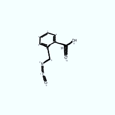 O=C=NCc1ccccc1C(=O)O